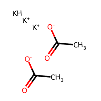 CC(=O)[O-].CC(=O)[O-].[K+].[K+].[KH]